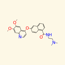 COc1cc2nccc(Oc3ccc4c(C(=O)NCCN(C)C)cccc4c3)c2cc1OC